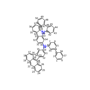 c1ccc(-c2cccc(N(c3ccc4c(c3)-c3cccc5cc6ccccc6c-4c35)c3ccc4c5ccccc5n(-c5ccccc5-c5ccccc5)c4c3)c2)cc1